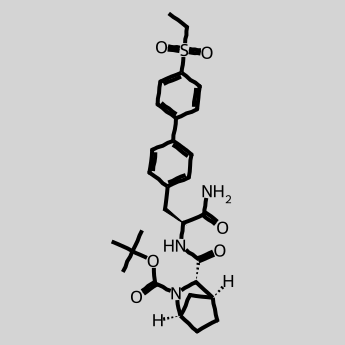 CCS(=O)(=O)c1ccc(-c2ccc(C[C@H](NC(=O)[C@@H]3[C@H]4CC[C@H](C4)N3C(=O)OC(C)(C)C)C(N)=O)cc2)cc1